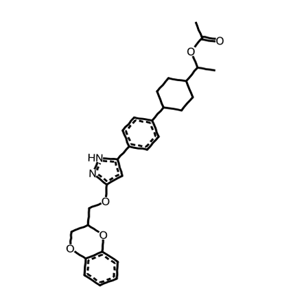 CC(=O)OC(C)C1CCC(c2ccc(-c3cc(OCC4COc5ccccc5O4)n[nH]3)cc2)CC1